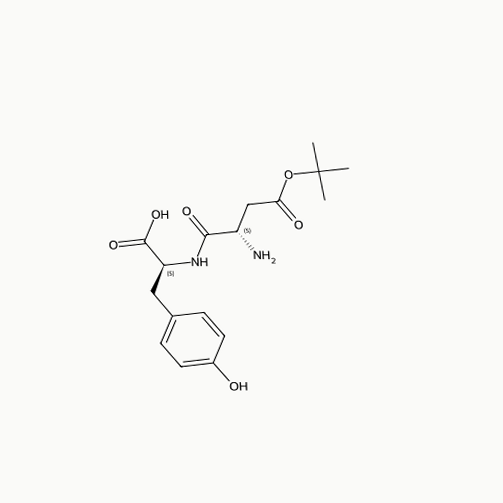 CC(C)(C)OC(=O)C[C@H](N)C(=O)N[C@@H](Cc1ccc(O)cc1)C(=O)O